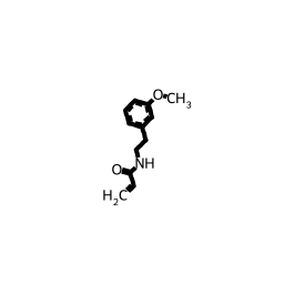 C=CC(=O)NCCc1cccc(OC)c1